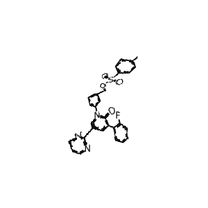 Cc1ccc(S(=O)(=O)OCc2cccc(-n3cc(-c4ncccn4)cc(-c4ccccc4F)c3=O)c2)cc1